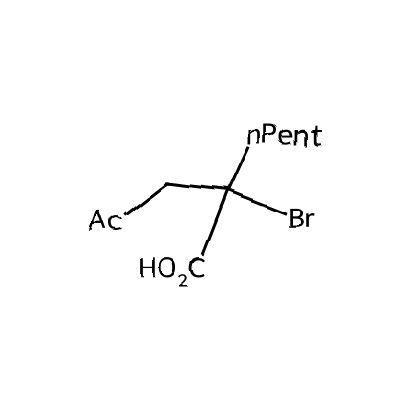 CCCCCC(Br)(CC(C)=O)C(=O)O